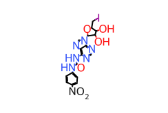 O=C(Nc1ccc([N+](=O)[O-])cc1)Nc1ncnc2c1ncn2C1OC(CI)C(O)C1O